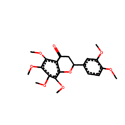 COc1ccc(C2CC(=O)c3c(OC)c(OC)c(OC)c(OC)c3O2)cc1OC